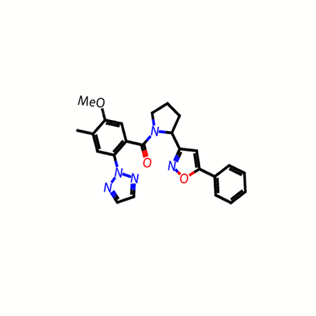 COc1cc(C(=O)N2CCCC2c2cc(-c3ccccc3)on2)c(-n2nccn2)cc1C